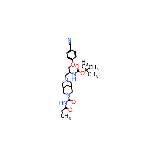 CCC(=O)NC(=O)N1CC2CC(CN(CC(COc3ccc(C#N)cc3)NC(=O)OC(C)(C)C)C2)C1